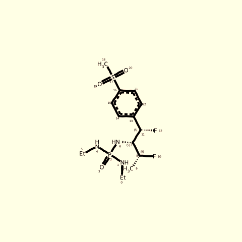 CCNP(=O)(NCC)N[C@@H]([C@@H](C)F)[C@@H](F)c1ccc(S(C)(=O)=O)cc1